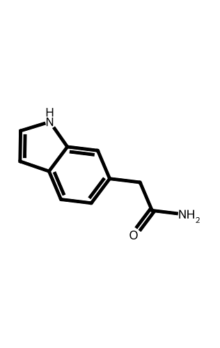 NC(=O)Cc1ccc2cc[nH]c2c1